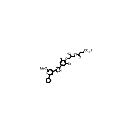 CCc1cc(-c2noc(-c3cc(OC)nc(C4CCCC4)c3)n2)cc(C)c1OCC(O)CNC(=O)CCC(=O)O